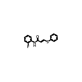 O=C(C=CSc1ccccc1)Nc1ccccc1F